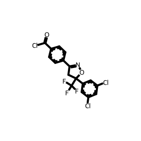 O=C(Cl)c1ccc(C2=NOC(c3cc(Cl)cc(Cl)c3)(C(F)(F)F)C2)cc1